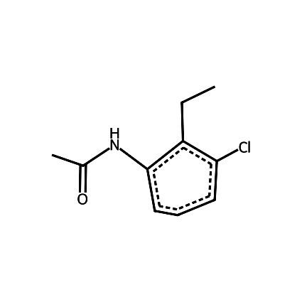 CCc1c(Cl)cccc1NC(C)=O